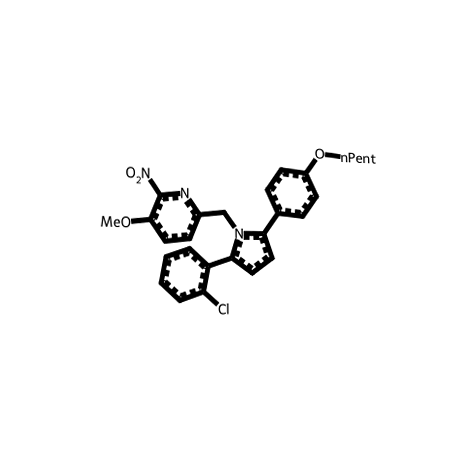 CCCCCOc1ccc(-c2ccc(-c3ccccc3Cl)n2Cc2ccc(OC)c([N+](=O)[O-])n2)cc1